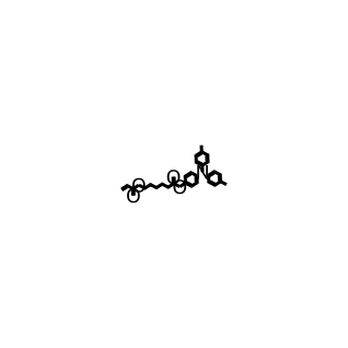 C=CC(=O)OCCCCCC(=O)Oc1ccc(N(c2ccc(C)cc2)c2ccc(C)cc2)cc1